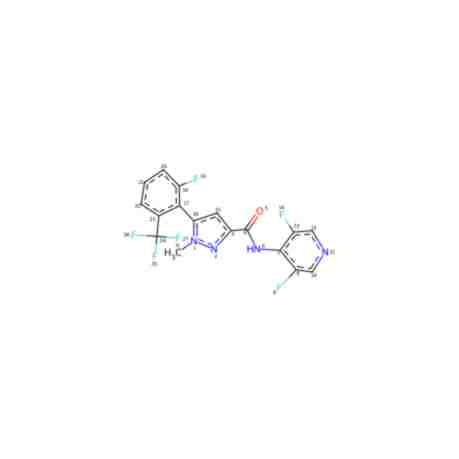 Cn1nc(C(=O)Nc2c(F)cncc2F)cc1-c1c(F)cccc1C(F)(F)F